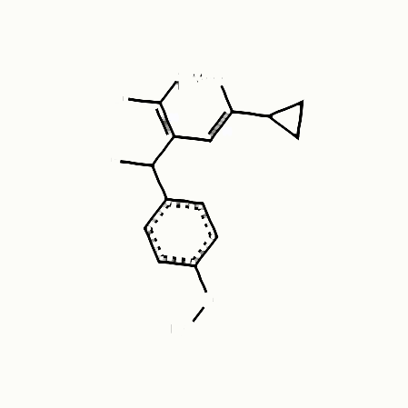 CC/C(C)=C(/C=C(\OC)C1CC1)C(Br)c1ccc(OC(F)(F)F)cc1